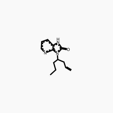 C=CCC(CCC)n1c(=O)[nH]c2cccnc21